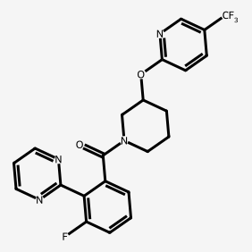 O=C(c1cccc(F)c1-c1ncccn1)N1CCCC(Oc2ccc(C(F)(F)F)cn2)C1